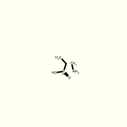 CC[PH](=O)O.[CH3][AlH2]